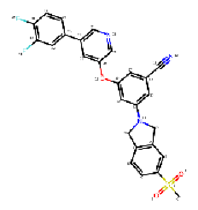 CS(=O)(=O)c1ccc2c(c1)CN(c1cc(C#N)cc(Oc3cncc(-c4ccc(F)c(F)c4)c3)c1)C2